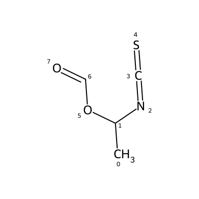 CC(N=C=S)OC=O